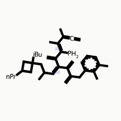 C=C=C(C)/C(C)=C(\P)C(=C)/C(=C\C(C)CC1(C(C)CC)CC(CCC)C1)C(=C)C(=C)Cc1cccc(C)c1C